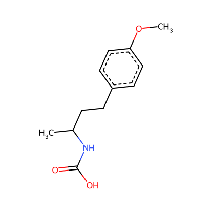 COc1ccc(CCC(C)NC(=O)O)cc1